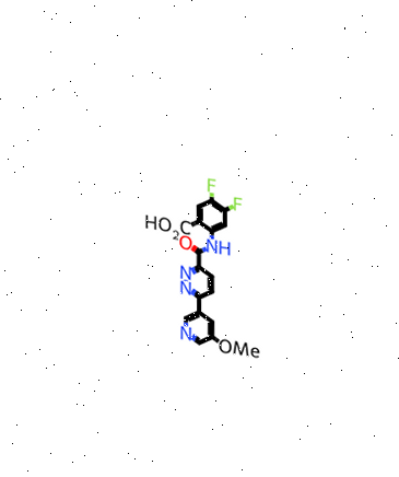 COc1cncc(-c2ccc(C(=O)Nc3cc(F)c(F)cc3C(=O)O)nn2)c1